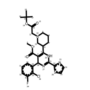 COC(=O)C1=C(C2CCCN(CC(=O)OC(C)(C)C)C2)NC(c2nccs2)=NC1c1cccc(F)c1Cl